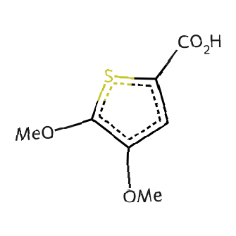 COc1cc(C(=O)O)sc1OC